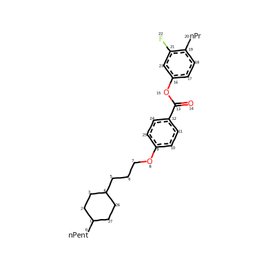 CCCCCC1CCC(CCCOc2ccc(C(=O)Oc3ccc(CCC)c(F)c3)cc2)CC1